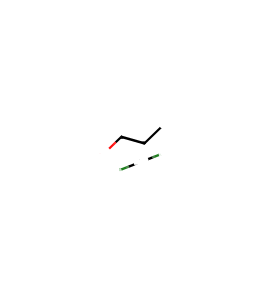 CCCO.[Cl][Zn][Cl]